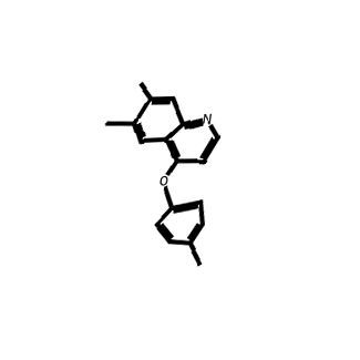 Cc1ccc(Oc2ccnc3cc(C)c(C)cc23)cc1